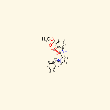 COC(=O)c1cccc(NC(=O)C2CCCN2Cc2ccccc2)c1O